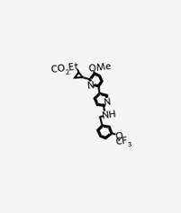 CCOC(=O)C1CC1c1nc(-c2ccc(NCc3cccc(OC(F)(F)F)c3)nc2)ccc1OC